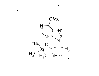 CCCCCC[C@H](O[Si](C)(C)C(C)(C)C)[C@@H](C)n1cnc2c(OC)ncnc21